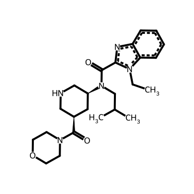 CCn1c(C(=O)N(CC(C)C)[C@@H]2CNC[C@H](C(=O)N3CCOCC3)C2)nc2ccccc21